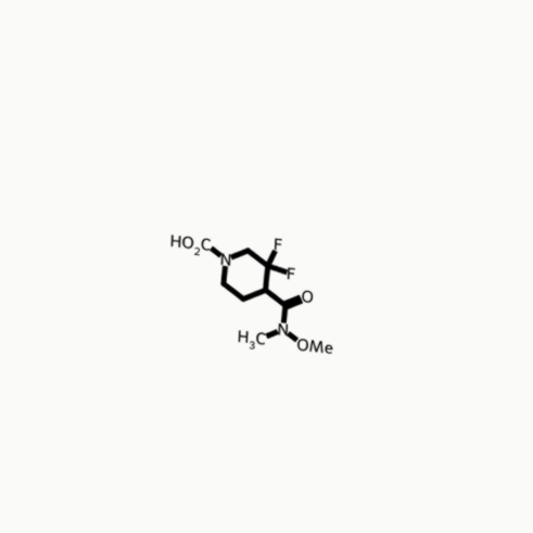 CON(C)C(=O)C1CCN(C(=O)O)CC1(F)F